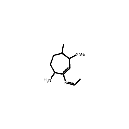 C/C=N\C1=CC(NC)C(C)CCC1N